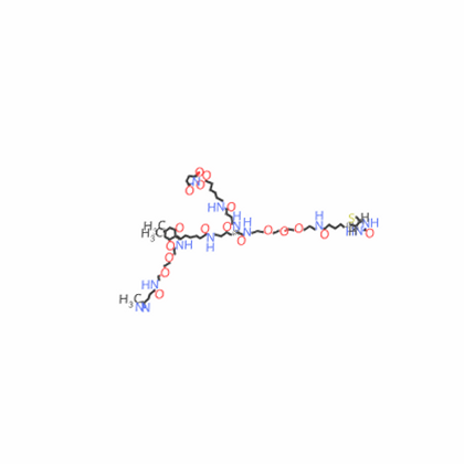 CC1(C)CC(=O)C(=C(CCCCC(=O)NCCCC[C@H](NC(=O)CCC(=O)NCCCCCC(=O)ON2C(=O)CCC2=O)C(=O)NCCCOCCOCCOCCCNC(=O)CCCC[C@@H]2SC[C@@H]3NC(=O)N[C@@H]32)NCCOCCOCCNC(=O)CCC2(C)N=N2)C(=O)C1